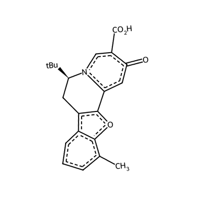 Cc1cccc2c3c(oc12)-c1cc(=O)c(C(=O)O)cn1[C@H](C(C)(C)C)C3